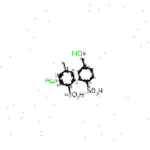 Cc1ccc(S(=O)(=O)O)cc1.Cc1ccc(S(=O)(=O)O)cc1.Cl.Cl